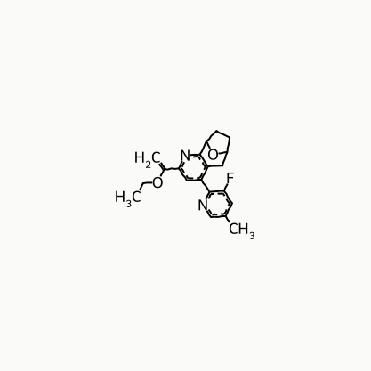 C=C(OCC)c1cc(-c2ncc(C)cc2F)c2c(n1)C1CCC(C2)O1